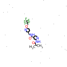 CC(C)C(=O)Nc1cc(C(=O)NCc2ccc(OCC(F)(F)C(F)(F)F)nc2)ccn1